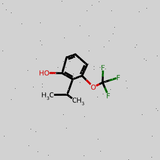 CC(C)c1c(O)cccc1OC(F)(F)F